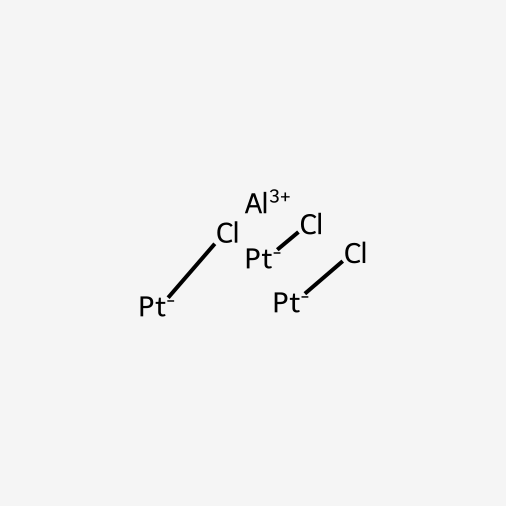 [Al+3].[Cl][Pt-].[Cl][Pt-].[Cl][Pt-]